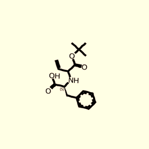 C=CC(N[C@@H](Cc1ccccc1)C(=O)O)C(=O)OC(C)(C)C